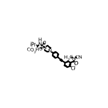 CC(C)[C@@H](NS(=O)(=O)N1CCN(c2ccc(C#Cc3ccc(Cl)c(C(=O)N(C)C#N)c3)cc2)CC1)C(=O)O